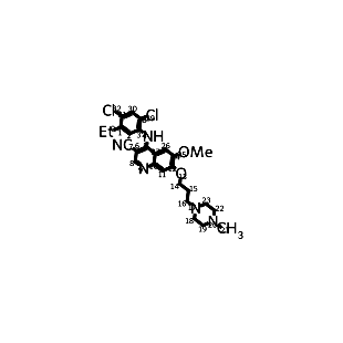 CCc1cc(Nc2c(C#N)cnc3cc(OCCCN4CCN(C)CC4)c(OC)cc23)c(Cl)cc1Cl